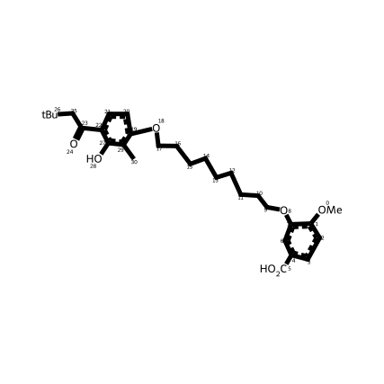 COc1ccc(C(=O)O)cc1OCCCCCCCCCOc1ccc(C(=O)CC(C)(C)C)c(O)c1C